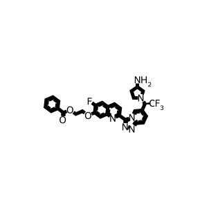 NC1CCN([C@H](c2ccc3nnc(-c4ccc5cc(F)c(OCCOC(=O)c6ccccc6)cc5n4)n3c2)C(F)(F)F)C1